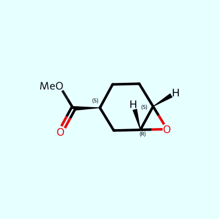 COC(=O)[C@H]1CC[C@@H]2O[C@@H]2C1